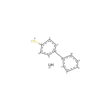 Sc1ccc(-c2ccccc2)cc1.[LiH]